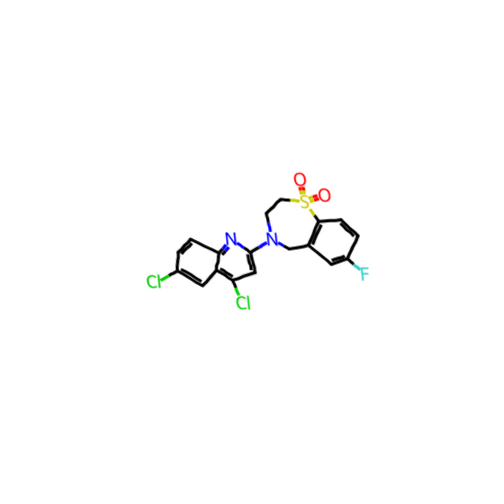 O=S1(=O)CCN(c2cc(Cl)c3cc(Cl)ccc3n2)Cc2cc(F)ccc21